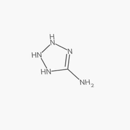 NC1=NNNN1